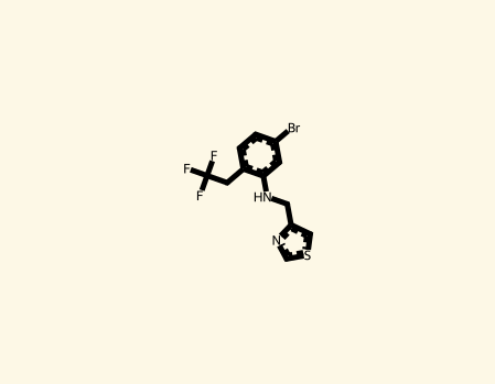 FC(F)(F)Cc1ccc(Br)cc1NCc1cscn1